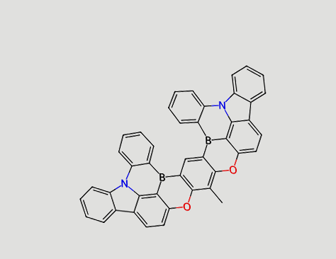 Cc1c2c(cc3c1Oc1ccc4c5ccccc5n5c4c1B3c1ccccc1-5)B1c3ccccc3-n3c4ccccc4c4ccc(c1c43)O2